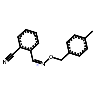 Cc1ccc(CO/N=[C]\c2ccccc2C#N)cc1